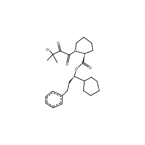 CCC(C)(C)C(=O)C(=O)N1CCCC[C@H]1C(=O)O[C@H](CCc1ccccc1)C1CCCCC1